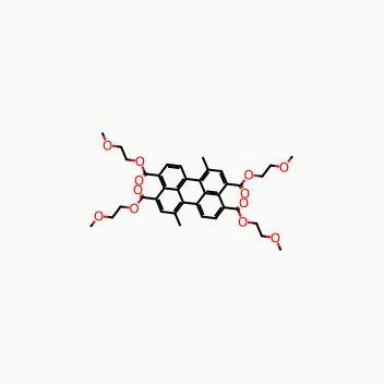 COCCOC(=O)c1ccc2c3c(C)cc(C(=O)OCCOC)c4c(C(=O)OCCOC)ccc(c5c(C)cc(C(=O)OCCOC)c1c25)c43